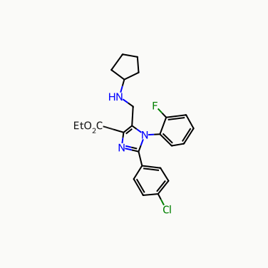 CCOC(=O)c1nc(-c2ccc(Cl)cc2)n(-c2ccccc2F)c1CNC1CCCC1